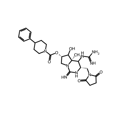 C[C@]12C(NC(=N)N)[C@H](CN3C(=O)CCC3=O)NC(=N)N1C[C@H](OC(=O)N1CCC(c3ccccc3)CC1)C2O